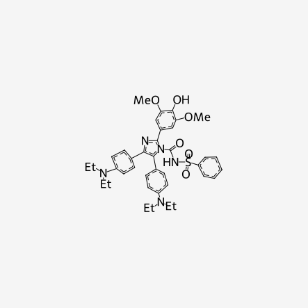 CCN(CC)c1ccc(-c2nc(-c3cc(OC)c(O)c(OC)c3)n(C(=O)NS(=O)(=O)c3ccccc3)c2-c2ccc(N(CC)CC)cc2)cc1